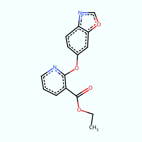 CCOC(=O)c1cccnc1Oc1ccc2ncoc2c1